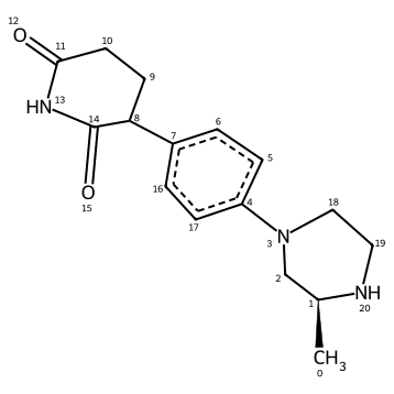 C[C@H]1CN(c2ccc(C3CCC(=O)NC3=O)cc2)CCN1